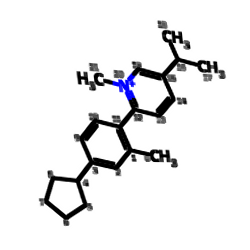 Cc1cc(C2CCCC2)ccc1-c1ccc(C(C)C)c[n+]1C